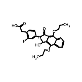 CCCOc1c2c(c(OCCC)c3ccccc13)C(O)N(c1ccc(CC(=O)O)c(F)c1)C2=O